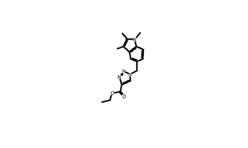 CCOC(=O)c1cn(Cc2ccc3c(c2)c(C)c(C)n3C)nn1